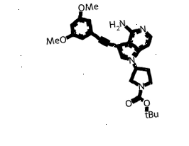 COc1cc(C#Cc2cn(C3CCN(C(=O)OC(C)(C)C)C3)c3ccnc(N)c23)cc(OC)c1